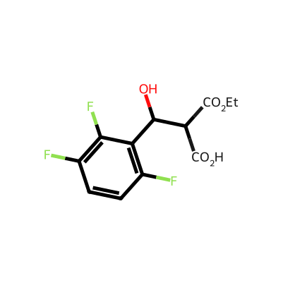 CCOC(=O)C(C(=O)O)C(O)c1c(F)ccc(F)c1F